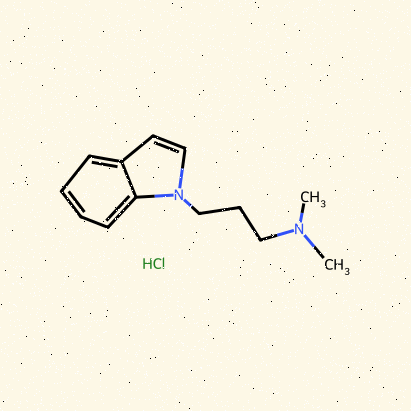 CN(C)CCCn1ccc2ccccc21.Cl